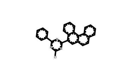 Clc1nc(-c2ccccc2)nc(-c2cc3ccc4ccccc4c3c3ccccc23)n1